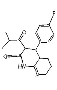 CC(C)C(=O)C1C(=O)NC2=NCCCC2C1c1ccc(F)cc1